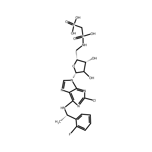 C[C@H](Nc1nc(Cl)nc2c1ncn2[C@@H]1O[C@H](CNP(=O)(O)CP(=O)(O)O)[C@H](O)C1O)c1ccccc1F